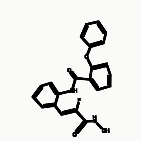 O=C(NO)/C(F)=C/c1ccccc1NC(=O)c1ccccc1Oc1ccccc1